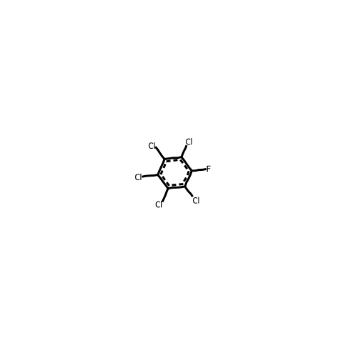 Fc1c(Cl)c(Cl)c(Cl)c(Cl)c1Cl